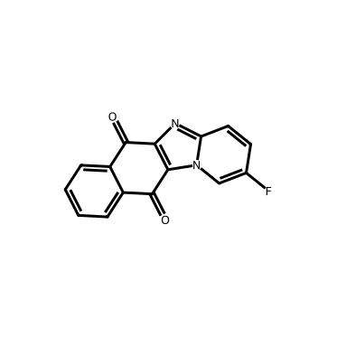 O=C1c2ccccc2C(=O)c2c1nc1ccc(F)cn21